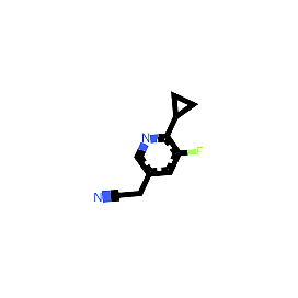 N#CCc1cnc(C2CC2)c(F)c1